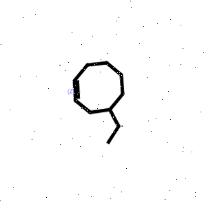 C[CH]C1C/C=C\CCCC1